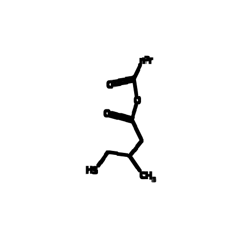 CCCC(=O)OC(=O)CC(C)CS